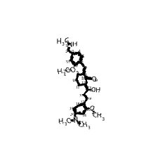 CNCc1ccc(/C=C2\CCC/C(=C(O)\C=C\c3ccc(N(C)C)cc3OC)C2=O)c(OC)c1